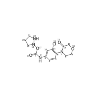 O=C(Nc1ccc(N2CCOCC2=O)c(Cl)c1)ON1CCCN1